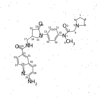 CN(C(=O)CN1CCCC1)c1ccc(N2CC(CNC(=O)c3ccc4nc(N)ccc4c3)CC2=O)cc1